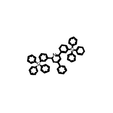 C1=CC([Si](C2=CCCC(C3=NC(c4cccc([Si](c5ccccc5)(c5ccccc5)c5ccccc5)c4)CC(c4ccccc4)=C3)=C2)(c2ccccc2)c2ccccc2)=CCC1